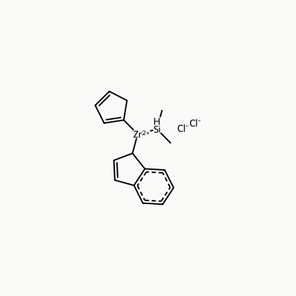 C[SiH](C)[Zr+2]([C]1=CC=CC1)[CH]1C=Cc2ccccc21.[Cl-].[Cl-]